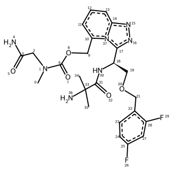 CN(CC(N)=O)C(=O)OCc1cccc2nnc([C@@H](COCc3ccc(F)cc3F)NC(=O)C(C)(C)N)n12